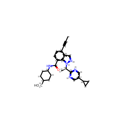 CC#Cc1ccc(C(=O)NC2CCC(C(=O)O)CC2)c2c1cnn2[C@H](C)c1ncc(C2CC2)cn1